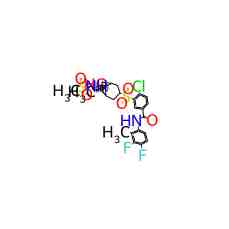 Cc1c(NC(=O)c2ccc(Cl)c(S(=O)(=O)C3CC4C[C@H](C)C(C3)[C@@]4(O)CNS(C)(=O)=O)c2)ccc(F)c1F